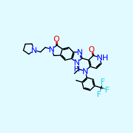 Cc1ccc(C(F)(F)F)cc1N(c1cc[nH]c(=O)c1-c1nc2cc3c(cc2[nH]1)CN(CCN1CCCC1)C3=O)C(C)C